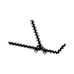 CCCCCCC/C=C\CCCCCCCC(=O)OC[C@H](COC(=O)CCCCCCCCCCCCCCCCCCC)OC(=O)CCCCCCCCCCCCCCCCCC